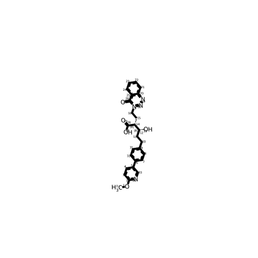 COc1ccc(-c2ccc(CC[C@@H](O)[C@@H](CCn3nnc4ccccc4c3=O)C(=O)O)cc2)cn1